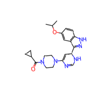 CC(C)Oc1ccc2[nH]nc(C3C=C(N4CCN(C(=O)C5CC5)CC4)N=CN3)c2c1